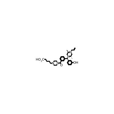 C=CCN1C[C@H](C)N([C@@H](c2cccc(O)c2)c2cccc(C(=O)N3CCN(CCCCC(=O)O)CC3)c2)C[C@H]1C